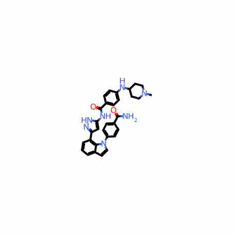 CN1CCC(Nc2ccc(C(=O)Nc3cc(-c4cccc5ccn(-c6ccc(C(N)=O)cc6)c45)n[nH]3)cc2)CC1